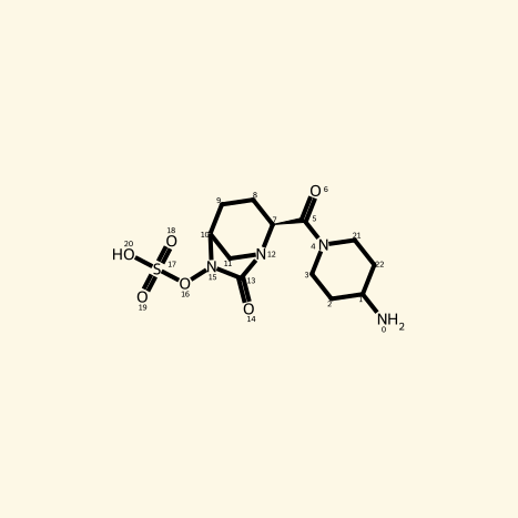 NC1CCN(C(=O)[C@@H]2CCC3CN2C(=O)N3OS(=O)(=O)O)CC1